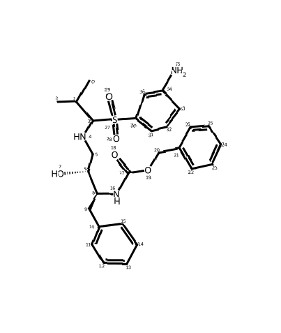 CC(C)C(NC[C@@H](O)[C@H](Cc1ccccc1)NC(=O)OCc1ccccc1)S(=O)(=O)c1cccc(N)c1